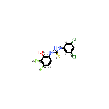 Oc1c(NC(=S)Nc2cc(Cl)cc(Cl)c2)ccc(F)c1F